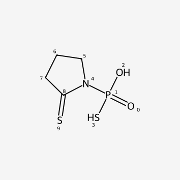 O=P(O)(S)N1CCCC1=S